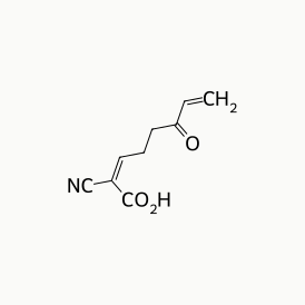 C=CC(=O)CCC=C(C#N)C(=O)O